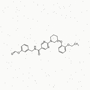 CCOc1ccccc1O[C@@H]1CCCN(c2ncc(C(=O)NCc3cccc(OC=O)c3)cn2)C1